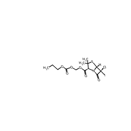 CCCOC(=O)OCOC(=O)[C@@H]1N2C(=O)[C@@](Cl)(I)[C@H]2SC1(C)C